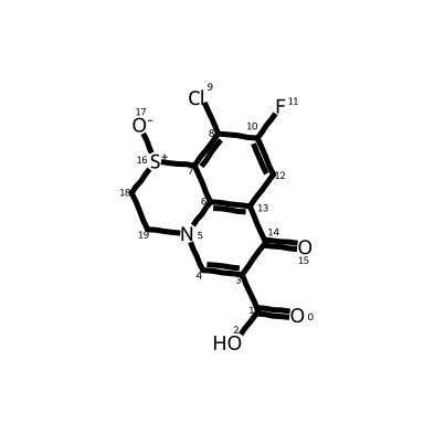 O=C(O)c1cn2c3c(c(Cl)c(F)cc3c1=O)[S+]([O-])CC2